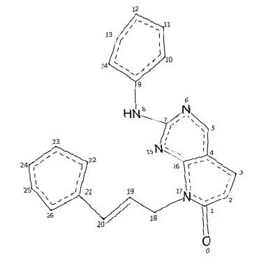 O=c1ccc2cnc(Nc3ccccc3)nc2n1CC=Cc1ccccc1